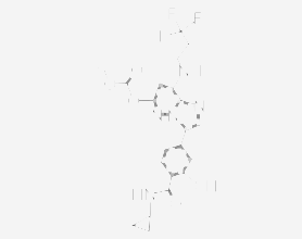 COC(=O)Oc1cc(NCCC(F)(F)F)c2ncc(-c3ccc(C(=O)NC4CC4)c(C)c3)n2n1